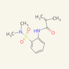 C=C(C)C(=O)Nc1ccccc1S(=O)(=O)N(C)C